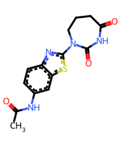 CC(=O)Nc1ccc2nc(N3CCCC(=O)NC3=O)sc2c1